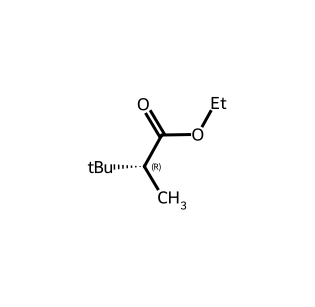 CCOC(=O)[C@H](C)C(C)(C)C